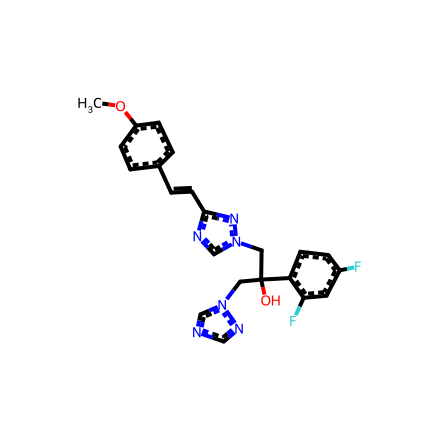 COc1ccc(C=Cc2ncn(CC(O)(Cn3cncn3)c3ccc(F)cc3F)n2)cc1